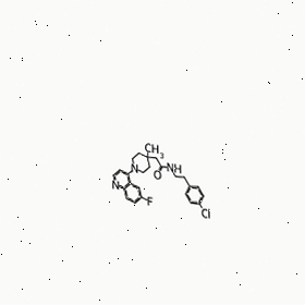 CC1(CC(=O)NCCc2ccc(Cl)cc2)CCN(c2ccnc3ccc(F)cc23)CC1